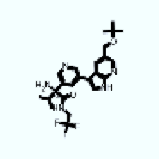 CC(C)[C@@](N)(C(=O)NCC(F)(F)F)c1cncc(-c2c[nH]c3ncc(COC(C)(C)C)cc23)c1